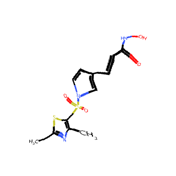 Cc1nc(C)c(S(=O)(=O)n2ccc(/C=C/C(=O)NO)c2)s1